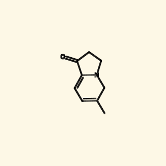 CC1=CC=C2C(=O)CCN2C1